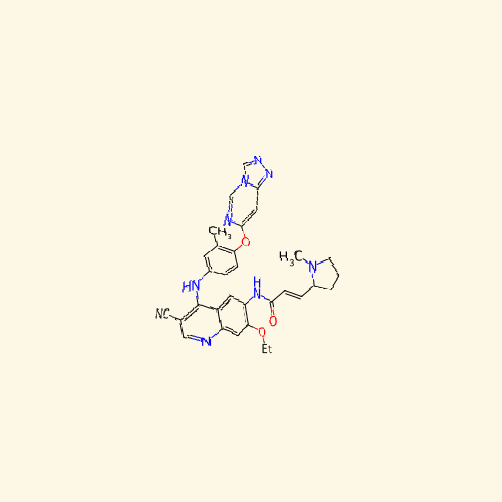 CCOc1cc2ncc(C#N)c(Nc3ccc(Oc4cc5nncn5cn4)c(C)c3)c2cc1NC(=O)C=CC1CCCN1C